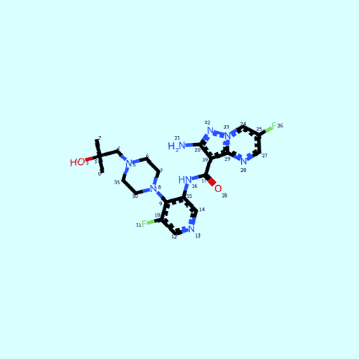 CC(C)(O)CN1CCN(c2c(F)cncc2NC(=O)c2c(N)nn3cc(F)cnc23)CC1